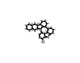 Clc1ccc2c3c1sc1cccc(c4cccc5c6cc7ccccc7cc6n2c45)c13